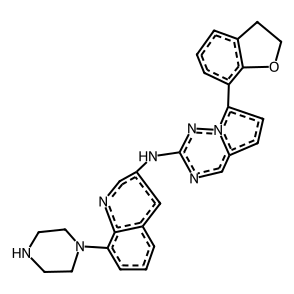 c1cc2c(c(-c3ccc4cnc(Nc5cnc6c(N7CCNCC7)cccc6c5)nn34)c1)OCC2